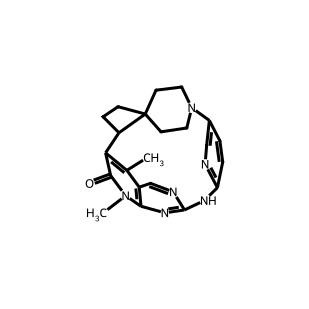 Cc1c2c(=O)n(C)c3nc(ncc13)Nc1ccc(cn1)N1CCC3(CCC23)CC1